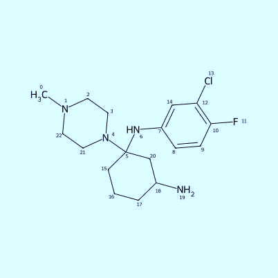 CN1CCN(C2(Nc3ccc(F)c(Cl)c3)CCCC(N)C2)CC1